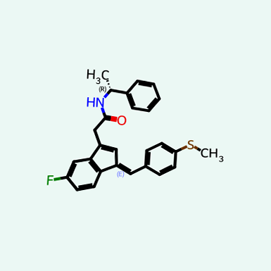 CSc1ccc(/C=C2\C=C(CC(=O)N[C@H](C)c3ccccc3)c3cc(F)ccc32)cc1